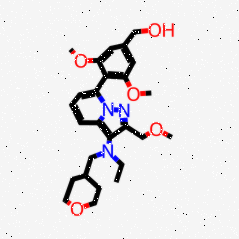 CCN(CC1CCOCC1)c1c(COC)nn2c(-c3c(OC)cc(CO)cc3OC)cccc12